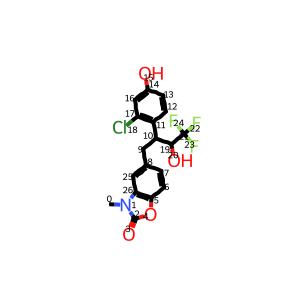 Cn1c(=O)oc2ccc(CC(c3ccc(O)cc3Cl)C(O)C(F)(F)F)cc21